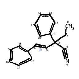 CCC(C#N)(/C=C/c1ccccc1)c1ccccc1